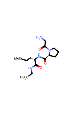 CSCC[C@H](NC(=O)[C@@H]1CCCN1C(=O)CN)C(=O)NCC(=O)O